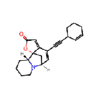 O=C1C=C2C(C#CC3C=CCCC3)=C[C@@H]3C[C@@]2(O1)[C@H]1CCCCN31